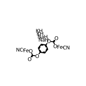 N#[C][Fe][O]C(=O)Oc1ccc(OC(=O)[O][Fe][C]#N)cc1.[KH].[KH].[NaH].[NaH]